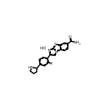 Cl.NC(=O)c1ccc2c(c1)sc1nc(-c3ccc(C4CCCN4)cc3F)cn12